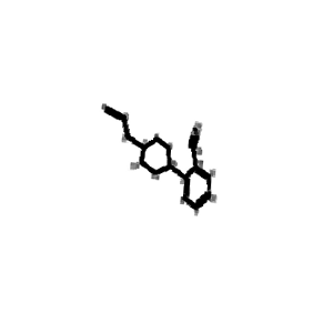 C=CCC1CCC(c2cc[c]cc2C#N)CC1